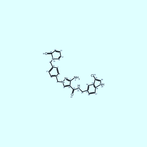 Nc1nn(Cc2ccc(Cn3ccccc3=O)cc2)cc1C(=O)NCc1ccc2[nH]cc(Cl)c2c1